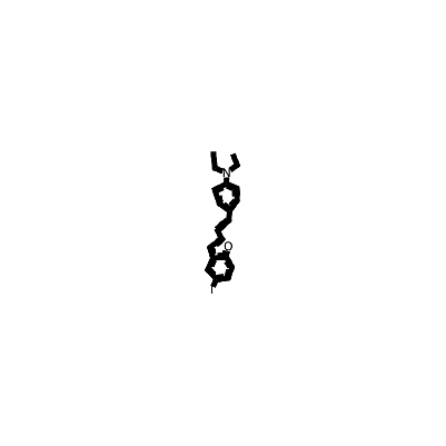 CCN(CC)c1ccc(/C=C/c2cc3cc(I)ccc3o2)cc1